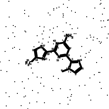 Cn1ccnc1-c1cc(N)nc(-c2nc(C(F)(F)F)cs2)n1